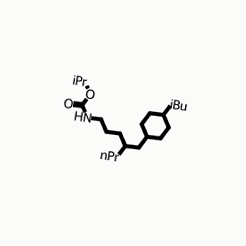 CCCC(CCCNC(=O)OC(C)C)CC1CCC(C(C)CC)CC1